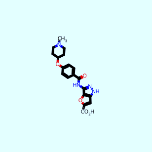 CN1CCC(Oc2ccc(C(=O)Nc3n[nH]c4cc(C(=O)O)oc34)cc2)CC1